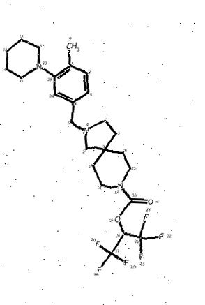 Cc1ccc(CN2CCC3(CCN(C(=O)OC(C(F)(F)F)C(F)(F)F)CC3)C2)cc1N1CCCCC1